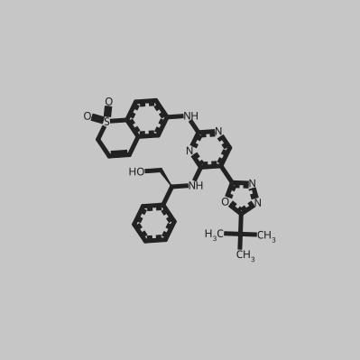 CC(C)(C)c1nnc(-c2cnc(Nc3ccc4c(c3)C=CCS4(=O)=O)nc2N[C@H](CO)c2ccccc2)o1